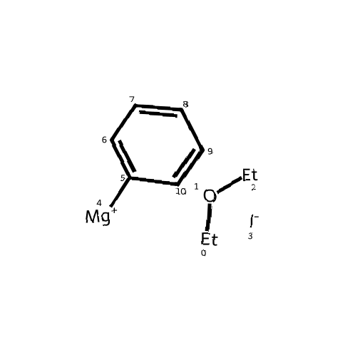 CCOCC.[I-].[Mg+][c]1ccccc1